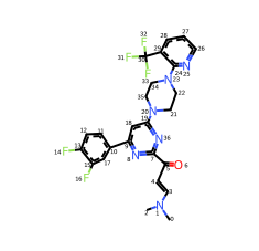 CN(C)C=CC(=O)c1nc(-c2ccc(F)c(F)c2)cc(N2CCN(c3ncccc3C(F)(F)F)CC2)n1